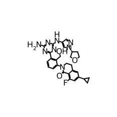 Nc1nc(Nc2cnn(C3CCOC3)c2)nc(-c2cccc(N3CCc4cc(C5CC5)cc(F)c4C3=O)c2CO)n1